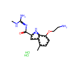 CNC(N)=NC(=O)c1cc2c(C)ccc(OCCN)c2[nH]1.Cl.Cl